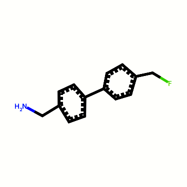 NCc1ccc(-c2ccc(CF)cc2)cc1